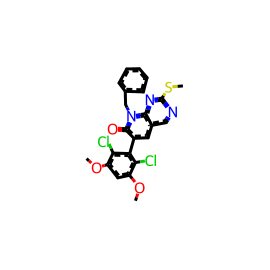 COc1cc(OC)c(Cl)c(-c2cc3cnc(SC)nc3n(Cc3ccccc3)c2=O)c1Cl